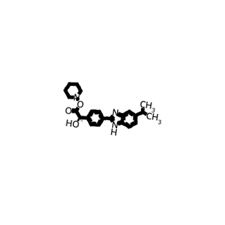 CC(C)c1ccc2[nH]c(-c3ccc([C@@H](O)C(=O)ON4CCCCC4)cc3)nc2c1